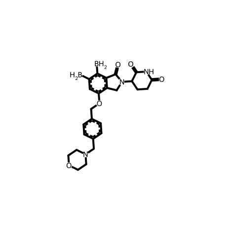 Bc1cc(OCc2ccc(CN3CCOCC3)cc2)c2c(c1B)C(=O)N(C1CCC(=O)NC1=O)C2